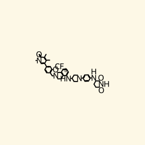 Cc1c(-c2ccc(CN3CCc4c(cccc4NC4CCN(c5ccc(NC6CCC(=O)NC6=O)cc5)CC4)C3)c(OC(F)(F)F)c2)cn(C)c(=O)c1C